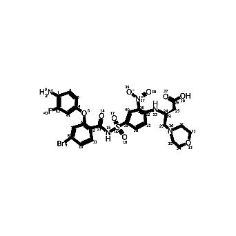 Nc1ccc(Oc2cc(Br)ccc2C(=O)NS(=O)(=O)c2ccc(N[C@@H](CC(=O)O)CN3CCOCC3)c([N+](=O)[O-])c2)cc1F